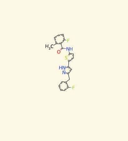 Cc1cccc(F)c1C(=O)Nc1ccc(-c2cc(Cc3ccccc3F)n[nH]2)s1